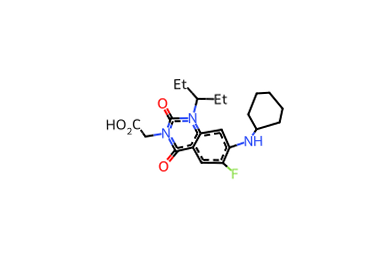 CCC(CC)n1c(=O)n(CC(=O)O)c(=O)c2cc(F)c(NC3CCCCC3)cc21